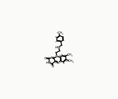 Cc1ccc(CNCCn2c3nc(=O)[nH]c(=O)c-3nc3cc(C)c(C)cc32)cc1